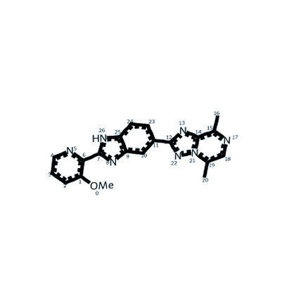 COc1cccnc1-c1nc2cc(-c3nc4c(C)ncc(C)n4n3)ccc2[nH]1